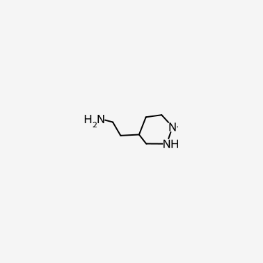 NCCC1CC[N]NC1